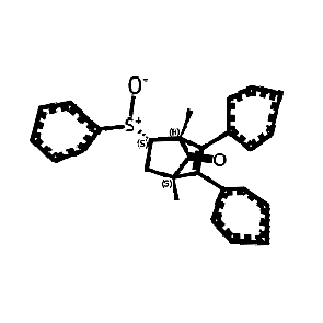 C[C@@]12C[C@H]([S+]([O-])c3ccccc3)[C@@](C)(C1=O)C(c1ccccc1)=C2c1ccccc1